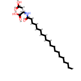 CCCCCCCCCCCCCCCCCCCC(=O)N[C@@H](CC(=O)O)C(=O)O